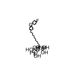 C[C@@H](O)[C@@H](O)[C@H](CO[C@H]1OC(CO)[C@@H](F)[C@H](O)C1O)NC(=O)CCCCCCCCCCc1ccc(Oc2ccc(F)cc2)cc1